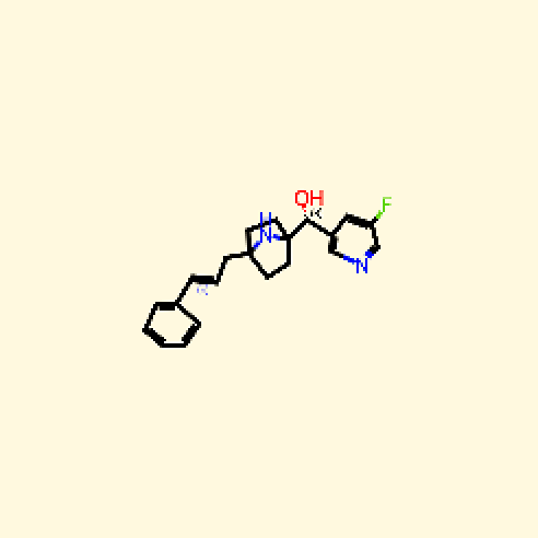 O[C@H](c1cncc(F)c1)C12CCC(C/C=C/c3ccccc3)(CC1)N2